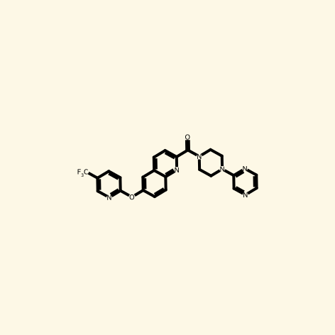 O=C(c1ccc2cc(Oc3ccc(C(F)(F)F)cn3)ccc2n1)N1CCN(c2cnccn2)CC1